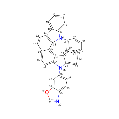 c1ccc(-n2c3ccccc3c3ccc4ccc5c(c6ccccc6n5-c5ccc6ncoc6c5)c4c32)cc1